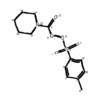 Cc1ccc(S(=O)(=O)OOC(=O)N2CCCCC2)cc1